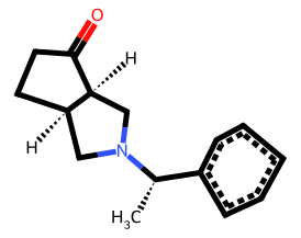 C[C@@H](c1ccccc1)N1C[C@H]2CCC(=O)[C@H]2C1